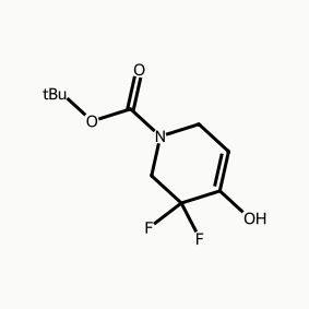 CC(C)(C)OC(=O)N1CC=C(O)C(F)(F)C1